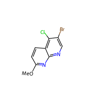 COc1ccc2c(Cl)c(Br)cnc2n1